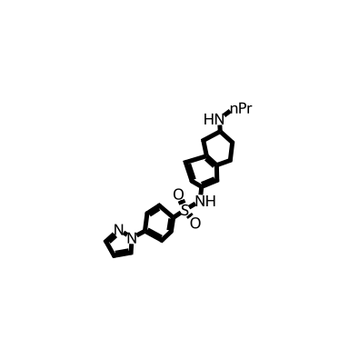 CCCNC1CCc2cc(NS(=O)(=O)c3ccc(-n4cccn4)cc3)ccc2C1